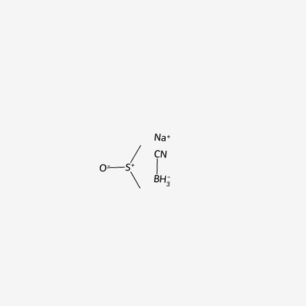 C[S+](C)[O-].[BH3-]C#N.[Na+]